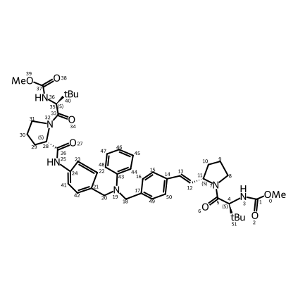 COC(=O)N[C@H](C(=O)N1CCC[C@H]1C=Cc1ccc(CN(Cc2ccc(NC(=O)[C@@H]3CCCN3C(=O)[C@@H](NC(=O)OC)C(C)(C)C)cc2)c2ccccc2)cc1)C(C)(C)C